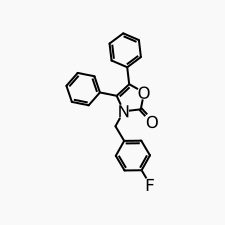 O=c1oc(-c2ccccc2)c(-c2ccccc2)n1Cc1ccc(F)cc1